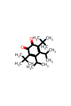 CC(C)C1=C(C(C)(C)C)C(=O)C(=O)C(C(C)(C)C)=C1C(C)C